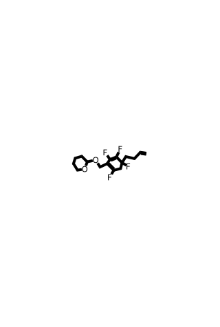 C=CCCC1(F)CC(F)=C(COC2CCCCO2)C(F)=C1F